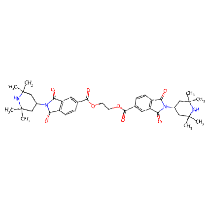 CC1(C)CC(N2C(=O)c3ccc(C(=O)OCCOC(=O)c4ccc5c(c4)C(=O)N(C4CC(C)(C)NC(C)(C)C4)C5=O)cc3C2=O)CC(C)(C)N1